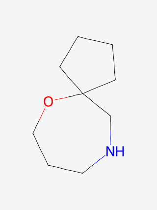 C1CNCC2(CCCC2)OC1